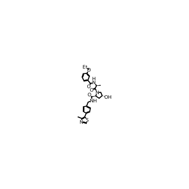 CCOc1cccc(C(=O)N[C@@H](C)C(=O)N2C[C@H](O)C[C@H]2C(=O)NCc2ccc(-c3scnc3C)cc2)c1